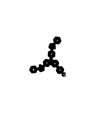 Clc1ccc(-c2ccc3c(c2)c2cc(-c4ccc(C5=CC=CCC5)s4)ccc2n3-c2ccc(-c3ccc(-c4ccccc4)s3)cc2)cc1